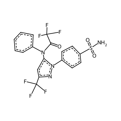 NS(=O)(=O)c1ccc(-n2nc(C(F)(F)F)cc2N(C(=O)C(F)(F)F)c2ccccc2)cc1